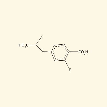 CC(Cc1ccc(C(=O)O)c(F)c1)C(=O)O